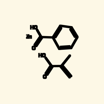 C=C(C)C(=O)O.O=C(O)c1ccccc1.[Zn]